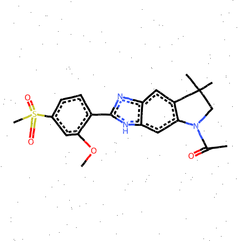 COc1cc(S(C)(=O)=O)ccc1-c1nc2cc3c(cc2[nH]1)N(C(C)=O)CC3(C)C